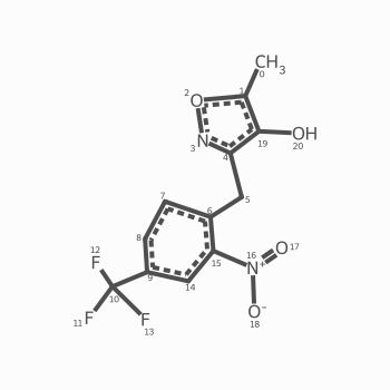 Cc1onc(Cc2ccc(C(F)(F)F)cc2[N+](=O)[O-])c1O